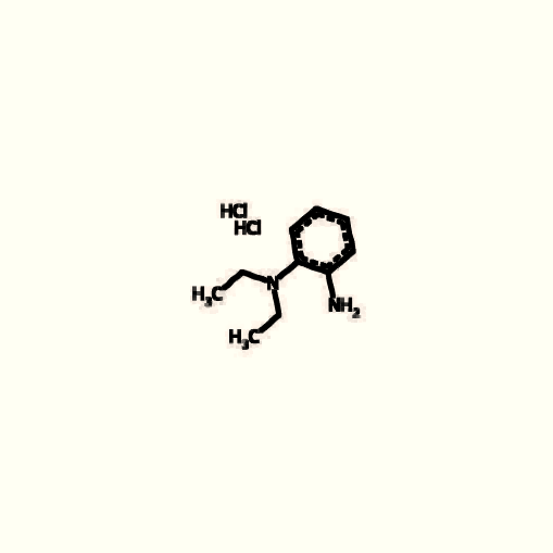 CCN(CC)c1ccccc1N.Cl.Cl